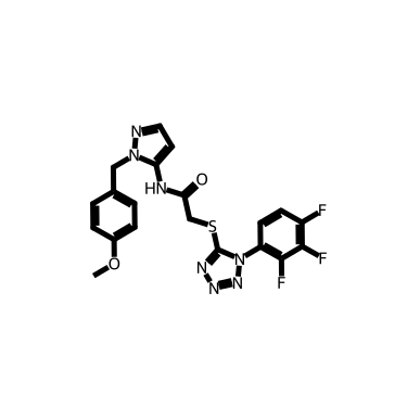 COc1ccc(Cn2nccc2NC(=O)CSc2nnnn2-c2ccc(F)c(F)c2F)cc1